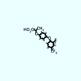 CC(Oc1ccc(Oc2ccc(C(F)(F)F)cc2F)cc1)C(=O)O